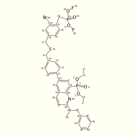 CCOP(=O)(OCC)c1cc(-c2ccc(CSCc3ccc(CP(=O)(OF)OF)c(Br)c3)cc2)cc2ccc(C(C)Cc3ccccc3)nc12